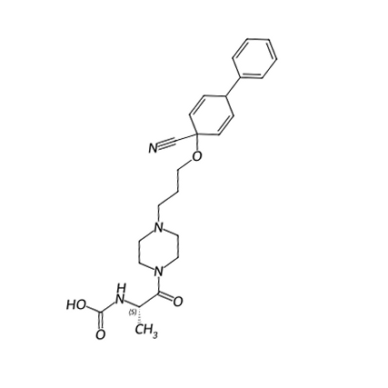 C[C@H](NC(=O)O)C(=O)N1CCN(CCCOC2(C#N)C=CC(c3ccccc3)C=C2)CC1